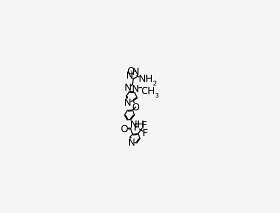 CCn1c(-c2nonc2N)nc2cnc(Oc3cccc(NC(=O)c4cnccc4C(F)(F)F)c3)cc21